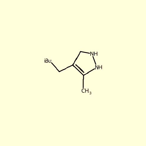 CCC(C)CC1=C(C)NNC1